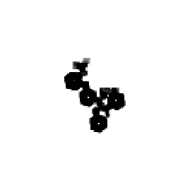 C[C@H](c1ccccc1)N(Cc1ccccc1)[C@@H](CC(=O)O)c1cccc(Cc2ccccc2OC(F)F)c1